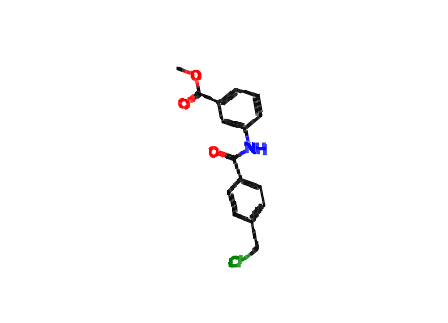 COC(=O)c1cccc(NC(=O)c2ccc(CCl)cc2)c1